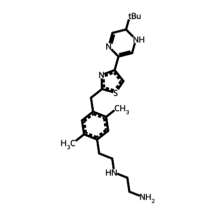 Cc1cc(Cc2nc(C3=CNC(C(C)(C)C)C=N3)cs2)c(C)cc1CCNCCN